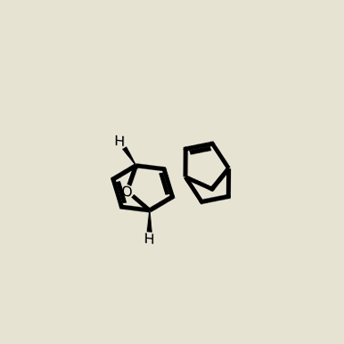 C1=CC2CCC1C2.C1=C[C@H]2C=C[C@@H]1O2